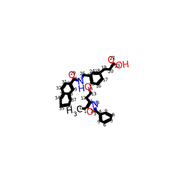 Cc1oc(-c2ccccc2)nc1CCOc1ccc(CCC(=O)O)cc1CNC(=O)c1ccc2ccccc2c1